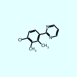 Cc1c(Cl)ccc(-c2ncccn2)c1C